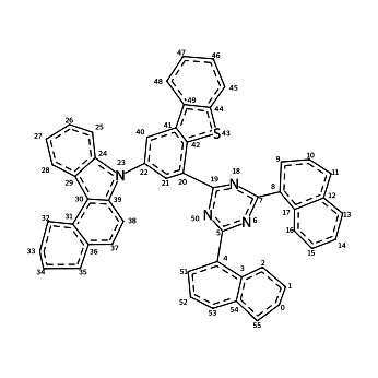 c1ccc2c(-c3nc(-c4cccc5ccccc45)nc(-c4cc(-n5c6ccccc6c6c7ccccc7ccc65)cc5c4sc4ccccc45)n3)cccc2c1